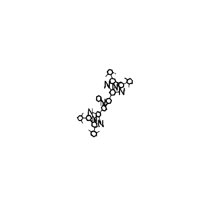 Cc1cccc(C)c1-c1ccc2c(c1)c1cc(-c3c(C)cccc3C)ccc1n2-c1c(C#N)cc(-c2ccc3c4ccc(-c5cc(C#N)c(-n6c7ccc(-c8c(C)cccc8C)cc7c7cc(-c8c(C)cccc8C)ccc76)c(C#N)c5)cc4n(-c4ccccc4)c3c2)cc1C#N